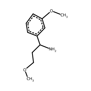 COCCC(N)c1cccc(OC)c1